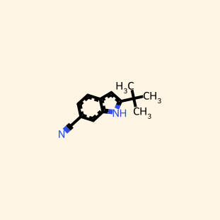 CC(C)(C)c1cc2ccc(C#N)cc2[nH]1